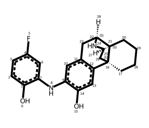 Oc1ccc(F)cc1Nc1cc2c(cc1O)[C@]13CCCC[C@@H]1[C@H](C2)NCC3